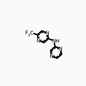 FC(F)(F)c1cnc(Nc2cnccn2)cn1